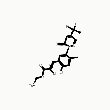 CCOC(=O)/C(Cl)=C/c1cc(-n2ncc(C(F)(F)F)cc2=O)c(F)cc1Cl